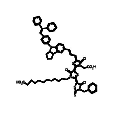 O=C(O)CCCCCCCCCCCn1c(=O)/c(=c2\sc(=CC=Cc3ccc4c(c3)C3CCCC3N4c3ccc(C=C(c4ccccc4)c4ccccc4)cc3)c(=O)n2CC(=O)O)s/c1=C1/SC(=S)N(Cc2ccccc2)C1=O